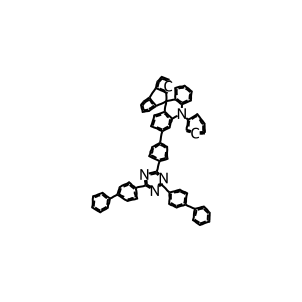 c1ccc(-c2ccc(-c3nc(-c4ccc(-c5ccccc5)cc4)nc(-c4ccc(-c5ccc6c(c5)N(c5ccccc5)c5ccccc5C65c6ccccc6-c6ccccc65)cc4)n3)cc2)cc1